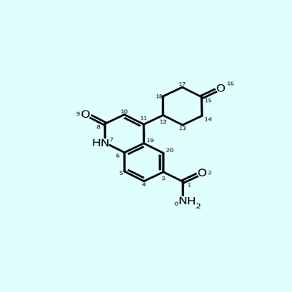 NC(=O)c1ccc2[nH]c(=O)cc(C3CCC(=O)CC3)c2c1